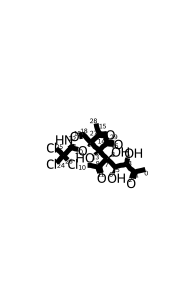 CC(=O)C(O)[C@@H](O)[C@@](O)(C(C)=O)[C@@](O)(C(C)=O)[C@](C=O)(OC(=N)C(Cl)(Cl)Cl)C(C)=O